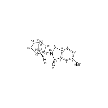 O=C1c2cc(Br)ccc2CN1[C@H]1CN2CCC1CC2